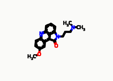 COc1ccc2nc3cccc4c3c(c2c1)C(=O)N4CCCN(C)C